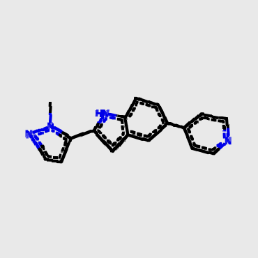 Cn1nccc1-c1cc2cc(-c3ccncc3)ccc2[nH]1